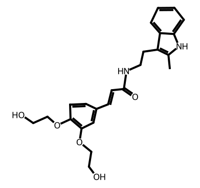 Cc1[nH]c2ccccc2c1CCNC(=O)C=Cc1ccc(OCCO)c(OCCO)c1